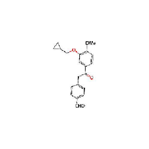 COc1ccc(C(=O)Cc2ccc([C]=O)cc2)cc1OCC1CC1